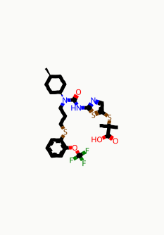 CC(C)(Sc1cnc(NC(=O)N(CCCSc2ccccc2OC(F)(F)F)[C@H]2CC[C@H](C)CC2)s1)C(=O)O